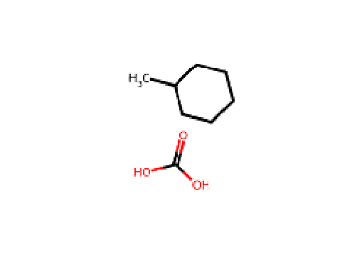 CC1CCCCC1.O=C(O)O